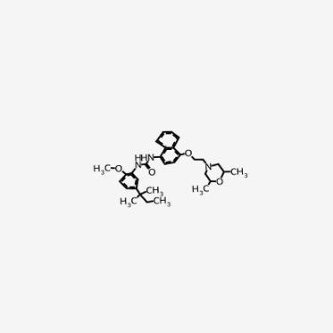 CCC(C)(C)c1ccc(OC)c(NC(=O)Nc2ccc(OCCN3CC(C)OC(C)C3)c3ccccc23)c1